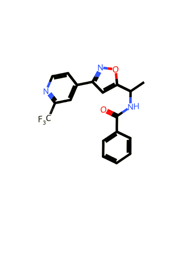 CC(NC(=O)c1ccccc1)c1cc(-c2ccnc(C(F)(F)F)c2)no1